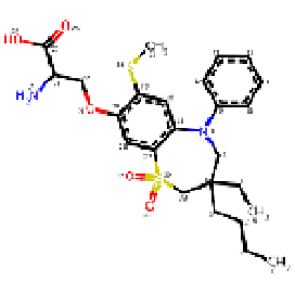 CCCCC1(CC)CN(c2ccccc2)c2cc(SC)c(OCC(N)C(=O)O)cc2S(=O)(=O)C1